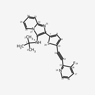 CC(C)(C)Nc1c(-c2ccc(C#Cc3ncccc3F)s2)nc2ccccn12